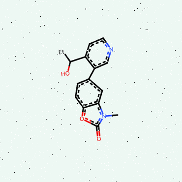 CCC(O)c1ccncc1-c1ccc2oc(=O)n(C)c2c1